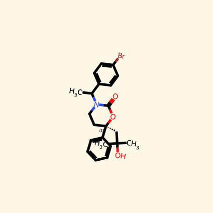 CC(c1ccc(Br)cc1)N1CC[C@](CC(C)(C)O)(c2ccccc2)OC1=O